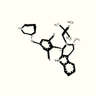 C[C@@H]1Cc2c([nH]c3ccccc23)[C@@H](c2c(F)cc(O[C@H]3CCCNC3)cc2F)N1CC(C)(C)F.Cl